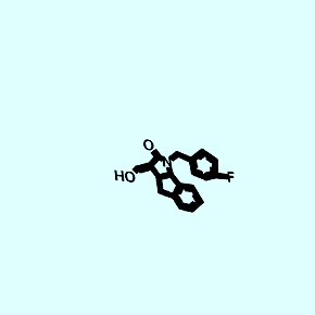 O=C1/C(=C/O)C2Cc3ccccc3C2N1Cc1ccc(F)cc1